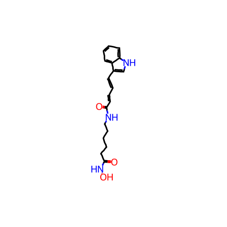 O=C(/C=C/C=C/c1c[nH]c2ccccc12)NCCCCCC(=O)NO